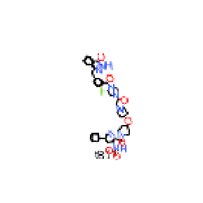 CC(C)(C)OC(=O)Nc1cc(-c2ccccc2)cnc1C(=O)N1CCC(OC2CCN(CC(=O)N3CCN(C(=O)c4cc(Cc5n[nH]c(=O)c6ccccc56)ccc4F)CC3)CC2)CC1